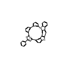 c1ccc(-c2nc3nc(n2)c2ccc4sc5cc6c7ccccc7n(c7cccc(c7)c7cccc3c7)c6cc5c4c2)cc1